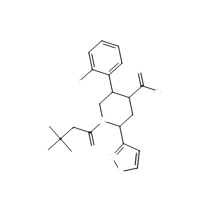 CC(C)(C)[CH]C(=O)N1CC(c2ccccc2Cl)C(C(N)=O)CC1c1cc[nH]n1